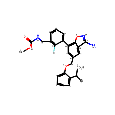 CCC(C(=O)O)c1ccccc1OCc1cc(-c2cccc(CNC(=O)OC(C)(C)C)c2F)c2onc(N)c2c1